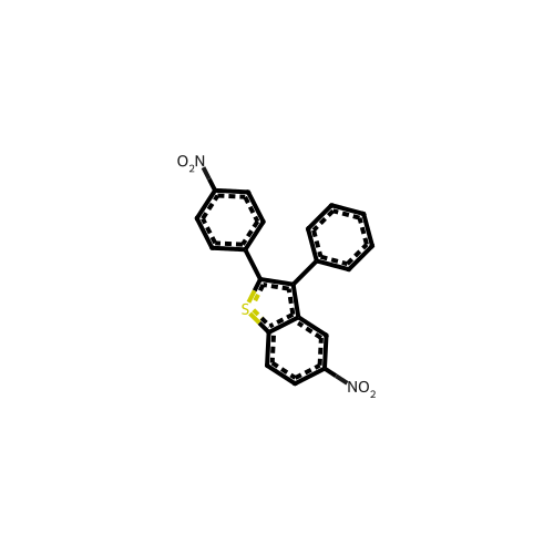 O=[N+]([O-])c1ccc(-c2sc3ccc([N+](=O)[O-])cc3c2-c2ccccc2)cc1